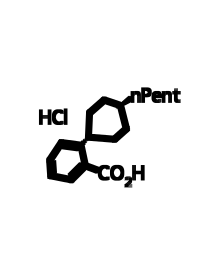 CCCCC[C@H]1CC[C@H](c2ccccc2C(=O)O)CC1.Cl